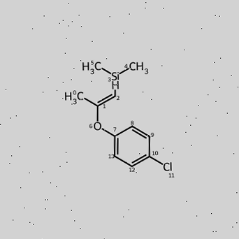 CC(=C[SiH](C)C)Oc1ccc(Cl)cc1